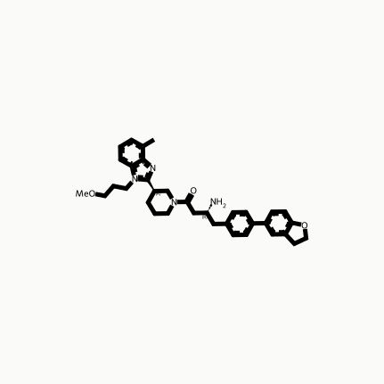 COCCCn1c([C@@H]2CCCN(C(=O)C[C@H](N)Cc3ccc(-c4ccc5c(c4)CCO5)cc3)C2)nc2c(C)cccc21